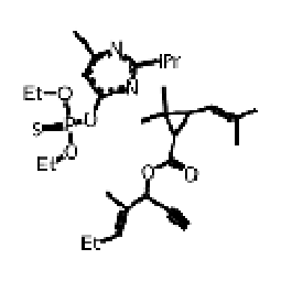 C#CC(OC(=O)[C@@H]1C(C=C(C)C)C1(C)C)/C(C)=C/CC.CCOP(=S)(OCC)Oc1cc(C)nc(C(C)C)n1